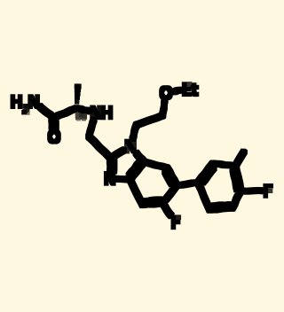 CCOCCn1c(CN[C@@H](C)C(N)=O)nc2cc(F)c(-c3ccc(F)c(C)c3)cc21